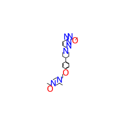 COc1nnc2ccc(N3CCC(c4ccc(OCCN5CCN(C(C)=O)CC5C)cc4)CC3)nn12